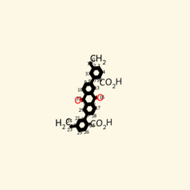 C=Cc1ccc(C(=O)O)c(-c2ccc3c(c2)C(=O)c2ccc(-c4cc(C=C)ccc4C(=O)O)cc2C3=O)c1